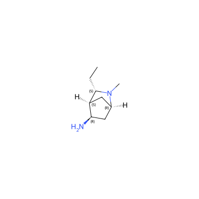 CC[C@H]1[C@H]2C[C@H](C[C@H]2N)N1C